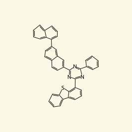 c1ccc(-c2nc(-c3ccc4ccc(-c5cccc6ccccc56)cc4c3)nc(-c3cccc4c3sc3ccccc34)n2)cc1